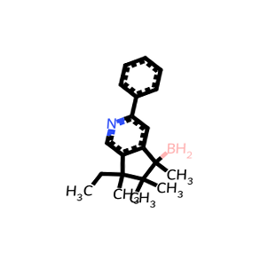 BC1(C)c2cc(-c3ccccc3)ncc2C(C)(CC)C1(C)C